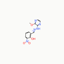 COc1nccnc1N/N=C/c1cccc([N+](=O)[O-])c1O